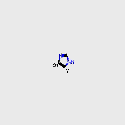 [Y].[Zn].c1c[nH]cn1